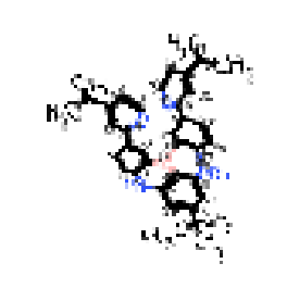 CC(C)c1ccnc(-c2ccc3c(c2)B2c4cc(-c5cc(C(C)C)ccn5)ccc4Nc4cc(C(C)(C)C)cc(c42)N3)c1